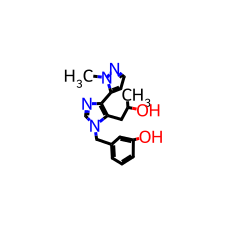 CC(O)Cc1c(-c2ccnn2C)ncn1Cc1cccc(O)c1